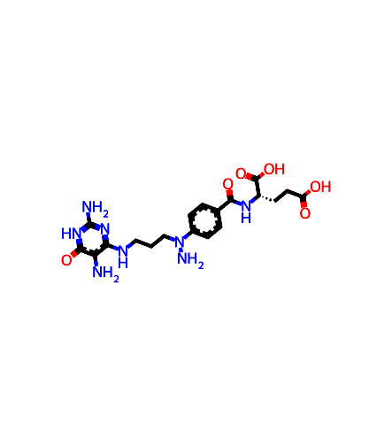 Nc1nc(NCCCN(N)c2ccc(C(=O)N[C@@H](CCC(=O)O)C(=O)O)cc2)c(N)c(=O)[nH]1